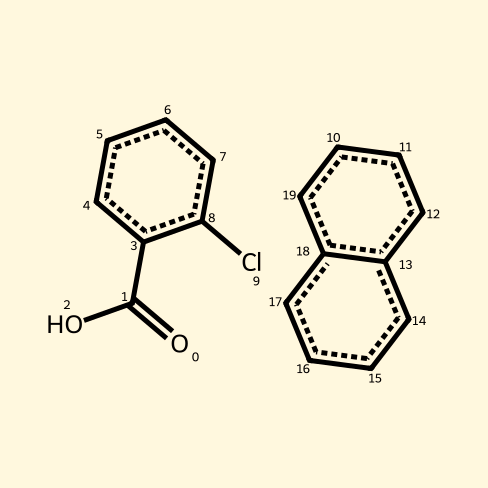 O=C(O)c1ccccc1Cl.c1ccc2ccccc2c1